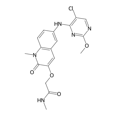 CNC(=O)COc1cc2cc(Nc3nc(OC)ncc3Cl)ccc2n(C)c1=O